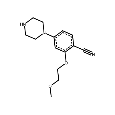 COCCOc1cc(N2CCNCC2)ccc1C#N